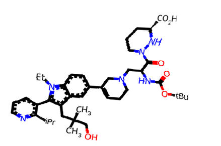 CCn1c(-c2cccnc2C(C)C)c(CC(C)(C)CO)c2cc(C3=CCCN(CC(NC(=O)OC(C)(C)C)C(=O)N4CCC[C@@H](C(=O)O)N4)C3)ccc21